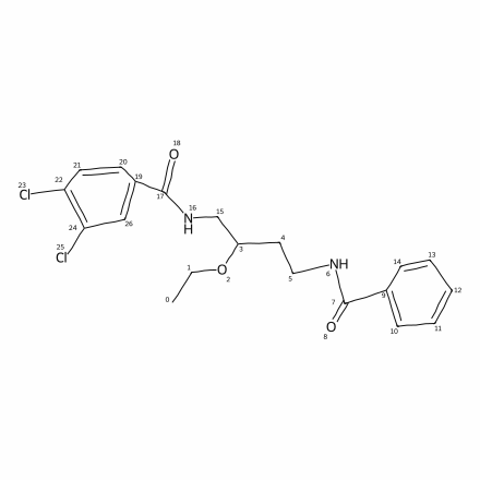 CCOC(CCNC(=O)c1ccccc1)CNC(=O)c1ccc(Cl)c(Cl)c1